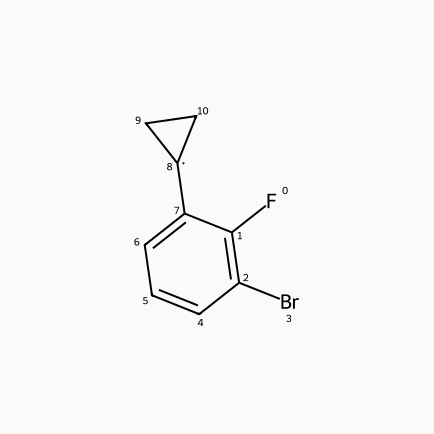 Fc1c(Br)cccc1[C]1CC1